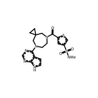 CNS(=O)(=O)c1csc(C(=O)N2CCN(c3ncnc4[nH]ccc34)CC3(CC3)C2)c1